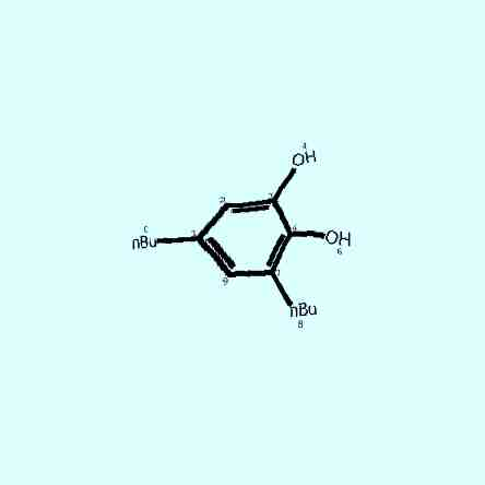 CCCCc1cc(O)c(O)c(CCCC)c1